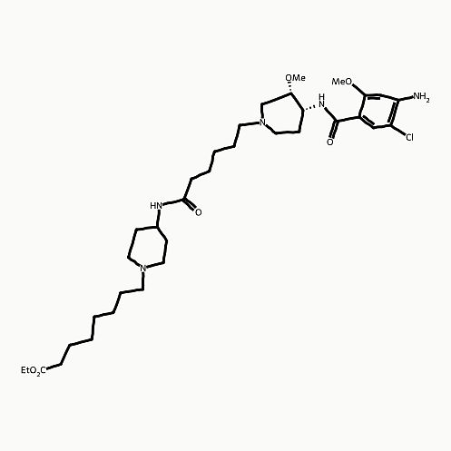 CCOC(=O)CCCCCCCN1CCC(NC(=O)CCCCCN2CC[C@@H](NC(=O)c3cc(Cl)c(N)cc3OC)[C@@H](OC)C2)CC1